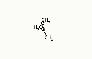 CCCCCCOC=C(C)c1ccc(C)cc1